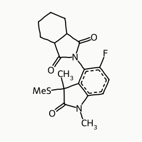 CSC1(C)C(=O)N(C)c2ccc(F)c(N3C(=O)C4CCCCC4C3=O)c21